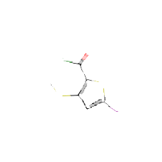 CCSc1cc(I)sc1C(=O)Cl